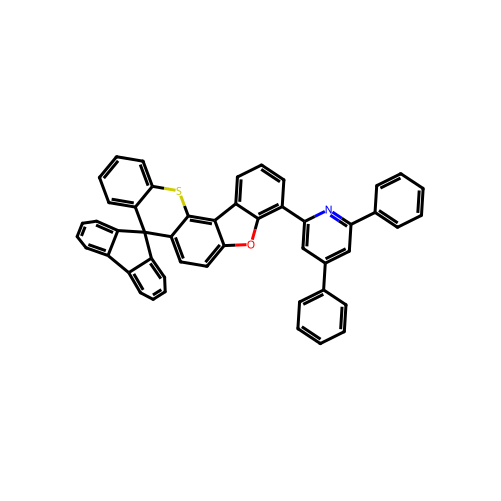 c1ccc(-c2cc(-c3ccccc3)nc(-c3cccc4c3oc3ccc5c(c34)Sc3ccccc3C53c4ccccc4-c4ccccc43)c2)cc1